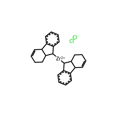 C1=CC2c3ccccc3[CH]([Zr+2][CH]3c4ccccc4C4C=CCCC43)C2CC1.[Cl-].[Cl-]